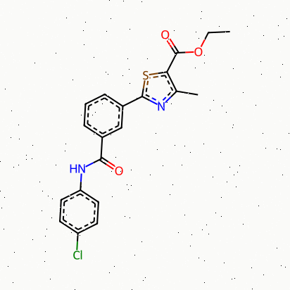 CCOC(=O)c1sc(-c2cccc(C(=O)Nc3ccc(Cl)cc3)c2)nc1C